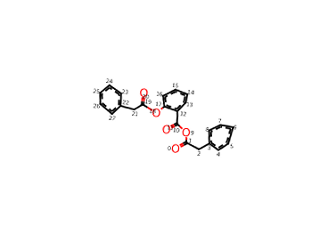 O=C(Cc1ccccc1)OC(=O)c1ccccc1OC(=O)Cc1ccccc1